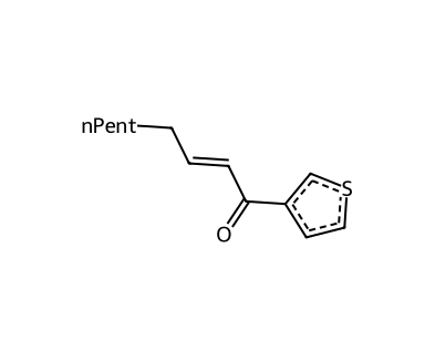 CCCCCC/C=C/C(=O)c1ccsc1